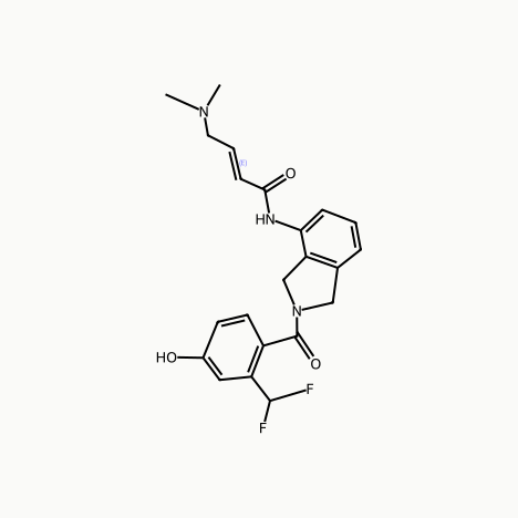 CN(C)C/C=C/C(=O)Nc1cccc2c1CN(C(=O)c1ccc(O)cc1C(F)F)C2